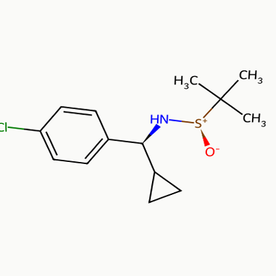 CC(C)(C)[S@@+]([O-])N[C@H](c1ccc(Cl)cc1)C1CC1